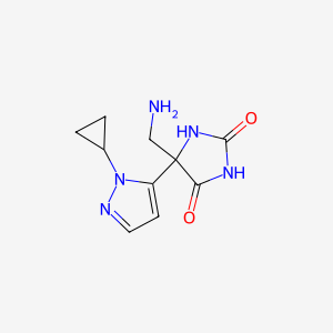 NCC1(c2ccnn2C2CC2)NC(=O)NC1=O